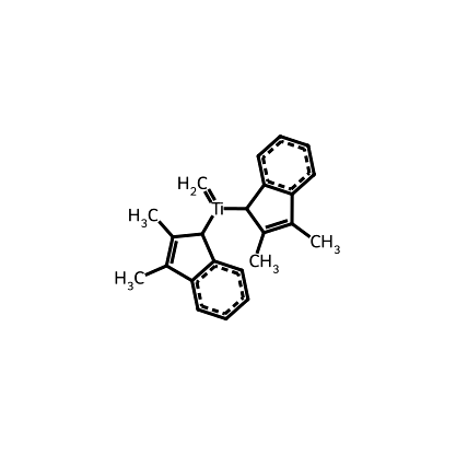 [CH2]=[Ti]([CH]1C(C)=C(C)c2ccccc21)[CH]1C(C)=C(C)c2ccccc21